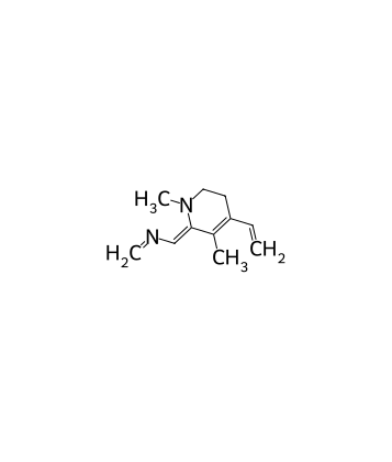 C=CC1=C(C)/C(=C/N=C)N(C)CC1